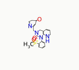 C[S+]([O-])c1ccccc1N1C(=O)N(CC2=CC(=O)CC=N2)CC2=C1NCC=C2